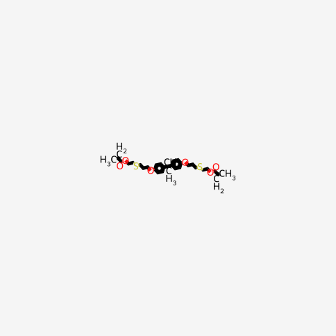 C=C(C)C(=O)OCCSCCCOc1ccc(C(C)(C)c2ccc(OCCCSCCOC(=O)C(=C)C)cc2)cc1